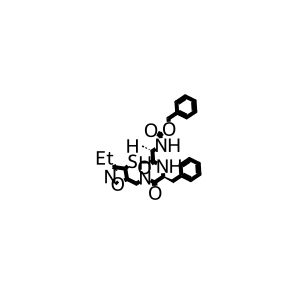 CCC1=NOC(CNC(=O)[C@H](Cc2ccccc2)NC(=O)[C@H](C)NC(=O)OCc2ccccc2)C1S